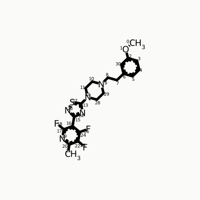 COc1cccc(CCN2CCN(c3nc(-c4c(F)nc(C)c(F)c4F)ns3)CC2)c1